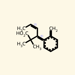 C=c1cccc/c1=C(/C=C\C)C(C)(C)C(=O)O